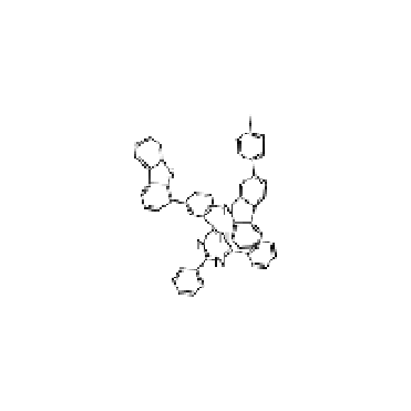 Cc1ccc(-c2ccc3c4ccccc4n(-c4ccc(-c5cccc6c5sc5ccccc56)cc4-c4nc(-c5ccccc5)nc(-c5ccccc5)n4)c3c2)cc1